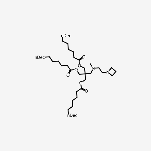 CCCCCCCCCCCCCCCC(=O)OCC(COC(=O)CCCCCCCCCCCCCCC)(COC(=O)CCCCCCCCCCCCCCC)CN(C)CCN1CCC1